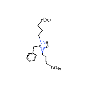 CCCCCCCCCCCCCn1cc[n+](CCCCCCCCCCCCC)c1Cc1ccccc1